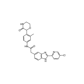 Cc1cc(NC(=O)Cc2ccc3[nH]c(-c4ccc(Cl)cn4)nc3c2)ccc1C1OCCNC1=O